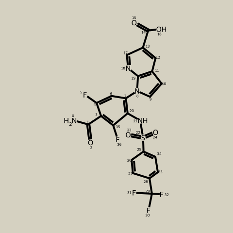 NC(=O)c1c(F)cc(-n2ccc3cc(C(=O)O)cnc32)c(NS(=O)(=O)c2ccc(C(F)(F)F)cc2)c1F